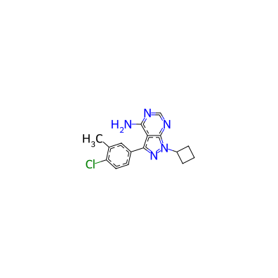 Cc1cc(-c2nn(C3CCC3)c3ncnc(N)c23)ccc1Cl